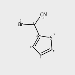 N#CC(Br)c1cccs1